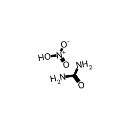 NC(N)=O.O=[N+]([O-])O